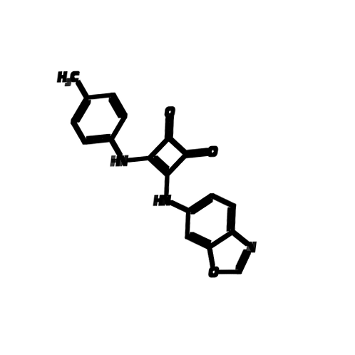 Cc1ccc(Nc2c(Nc3ccc4ncoc4c3)c(=O)c2=O)cc1